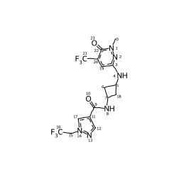 Cn1nc(NC2CC(NC(=O)c3cnn(CC(F)(F)F)c3)C2)cc(C(F)(F)F)c1=O